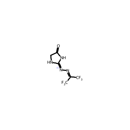 O=C1CN/C(=N/N=C(C(F)(F)F)C(F)(F)F)N1